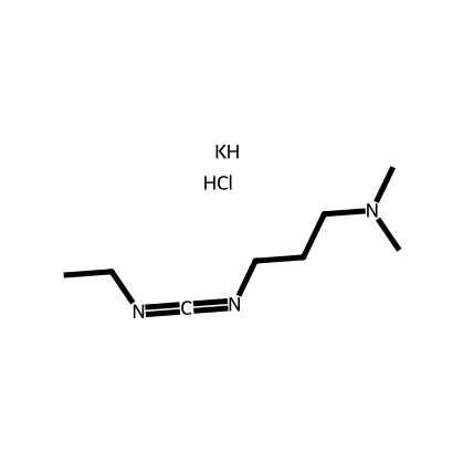 CCN=C=NCCCN(C)C.Cl.[KH]